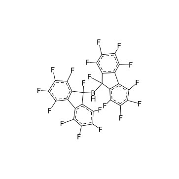 Fc1c(F)c(F)c2c(c1F)-c1c(F)c(F)c(F)c(F)c1C2(F)BC1(F)c2c(F)c(F)c(F)c(F)c2-c2c(F)c(F)c(F)c(F)c21